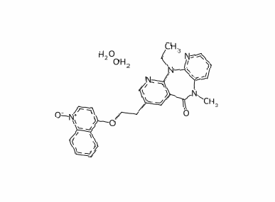 CCN1c2ncc(CCOc3cc[n+]([O-])c4ccccc34)cc2C(=O)N(C)c2cccnc21.O.O